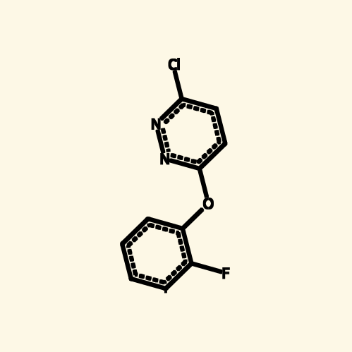 Fc1[c]cccc1Oc1ccc(Cl)nn1